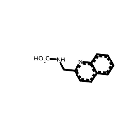 O=C(O)NCc1ccc2ccccc2n1